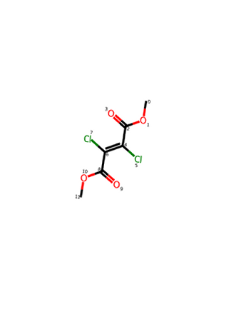 COC(=O)C(Cl)=C(Cl)C(=O)OC